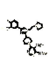 CNc1ncnc(N2CCC(c3nc(-c4ccc(F)c(C)c4)cn3CCN3CCCC3)CC2)c1OC(C)C